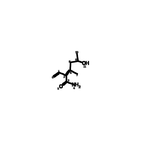 C=CC(C(N)=O)=C(C)CC(C)O